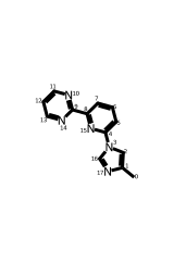 Cc1cn(-c2cccc(-c3ncccn3)n2)cn1